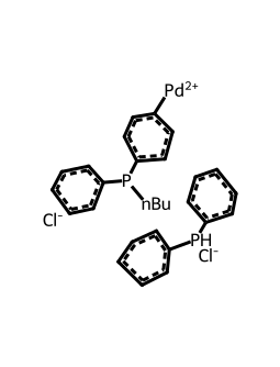 CCCCP(c1ccccc1)c1cc[c]([Pd+2])cc1.[Cl-].[Cl-].c1ccc(Pc2ccccc2)cc1